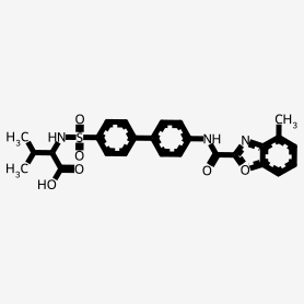 Cc1cccc2oc(C(=O)Nc3ccc(-c4ccc(S(=O)(=O)NC(C(=O)O)C(C)C)cc4)cc3)nc12